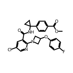 COC(=O)c1ccc(C2(NC(=O)c3cc(Cl)cnc3N3CC(Oc4ccc(F)cc4)C3)CC2)cc1